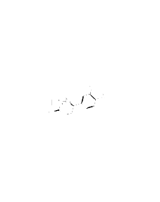 CC(=O)c1ccc(C2=NNC(=O)OC2)cc1C(F)(F)F